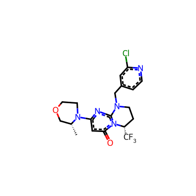 C[C@@H]1COCCN1c1cc(=O)n2c(n1)N(Cc1ccnc(Cl)c1)CC[C@@H]2C(F)(F)F